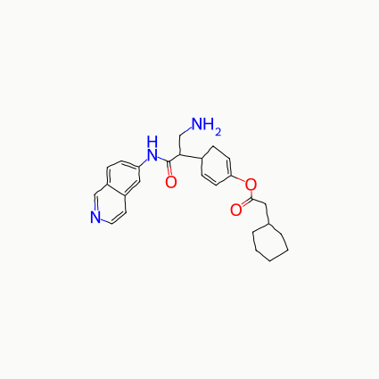 NCC(C(=O)Nc1ccc2cnccc2c1)C1C=CC(OC(=O)CC2CCCCC2)=CC1